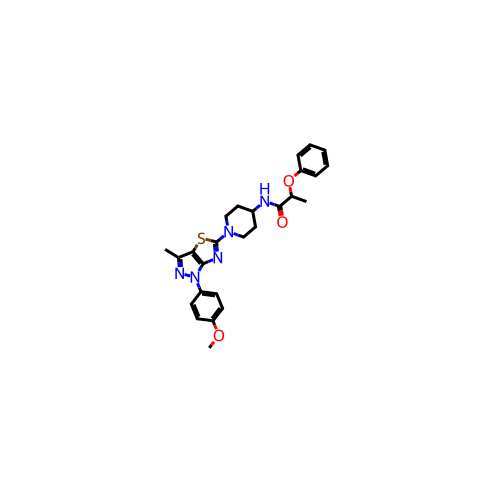 COc1ccc(-n2nc(C)c3sc(N4CCC(NC(=O)C(C)Oc5ccccc5)CC4)nc32)cc1